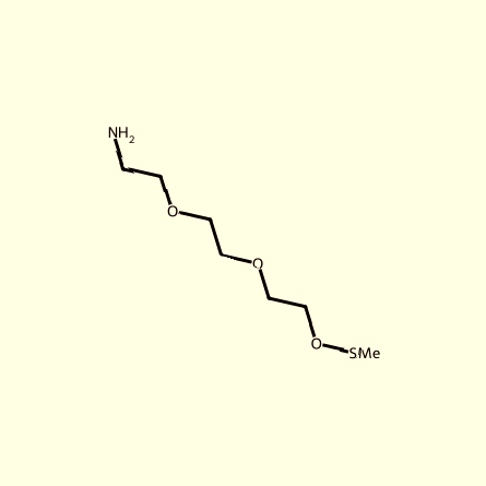 CSOCCOCCOCCN